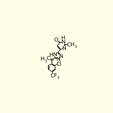 Cc1nc(-c2nnc([C@H](C)c3ccc(C(F)(F)F)cc3Cl)[nH]2)cc(=O)[nH]1